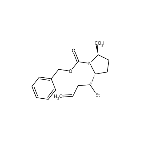 C=CCC(CC)[C@H]1CC[C@H](C(=O)O)N1C(=O)OCc1ccccc1